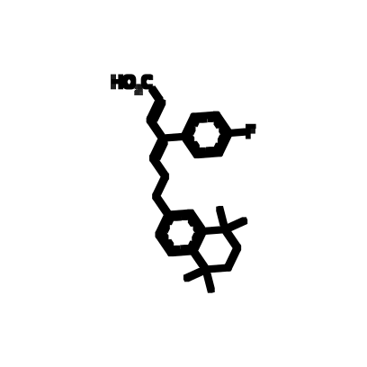 CC1(C)CCC(C)(C)c2cc(CC/C=C(/C=CC(=O)O)c3ccc(F)cc3)ccc21